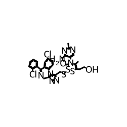 CC(=C(CCO)SSSCc1nnc2n1-c1ccc(Cl)cc1C(c1ccccc1Cl)=NC2)N(C=O)c1cnc(C)nc1N